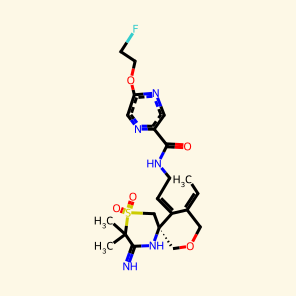 C/C=C1/COC[C@]2(CS(=O)(=O)C(C)(C)C(=N)N2)/C1=C/CNC(=O)c1cnc(OCCF)cn1